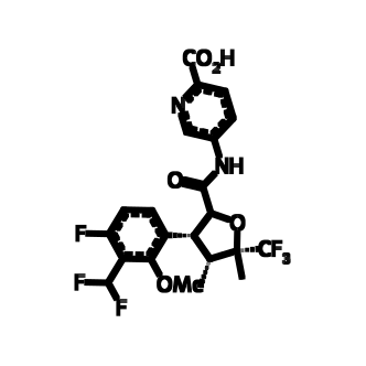 COc1c([C@@H]2C(C(=O)Nc3ccc(C(=O)O)nc3)O[C@](C)(C(F)(F)F)[C@@H]2C)ccc(F)c1C(F)F